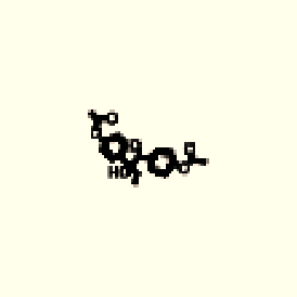 CCC(O)(c1ccc(OC(C)=O)cc1)C(O)c1ccc(OC(C)=O)cc1